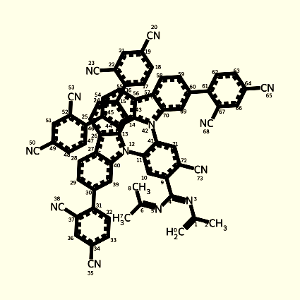 C=C(C)/N=C(\N=C(C)C)c1cc(-n2c3cc(-c4ccc(C#N)cc4C#N)ccc3c3ccc(-c4ccc(C#N)cc4C#N)cc32)c(-n2c3cc(-c4ccc(C#N)cc4C#N)ccc3c3ccc(-c4ccc(C#N)cc4C#N)cc32)cc1C#N